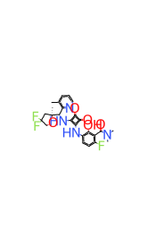 Cc1cccnc1C(Nc1c(Nc2ccc(F)c(C(=O)N(C)C)c2O)c(=O)c1=O)[C@]1(C)CC(F)(F)CO1